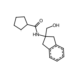 O=C(NC1(CO)Cc2ccccc2C1)C1[CH]CCC1